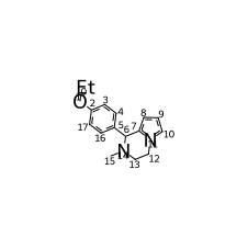 CCOc1ccc(C2c3cccn3CCN2C)cc1